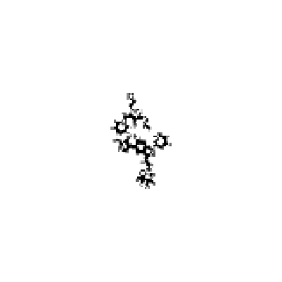 CCOc1nn(CCO)c(CN2CCC[C@@H](Oc3c(-c4cc5c(/C=C/B6OC(C)(C)C(C)(C)O6)nn(C6CCCCO6)c5cc4F)cnn3C)C2)c1I